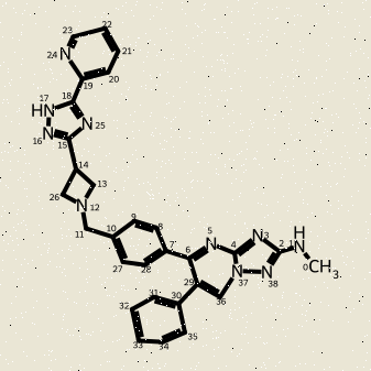 CNc1nc2nc(-c3ccc(CN4CC(c5n[nH]c(-c6ccccn6)n5)C4)cc3)c(-c3ccccc3)cn2n1